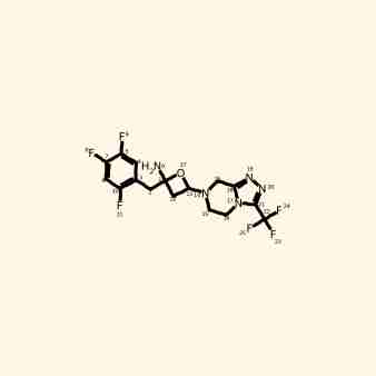 NC1(Cc2cc(F)c(F)cc2F)CC(N2CCn3c(nnc3C(F)(F)F)C2)O1